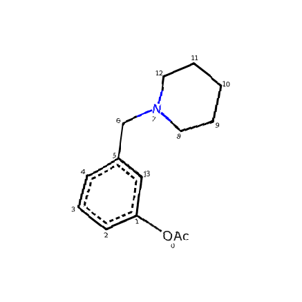 CC(=O)Oc1cccc(CN2CCCCC2)c1